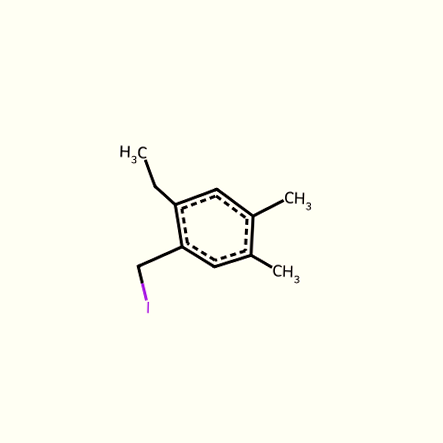 CCc1cc(C)c(C)cc1CI